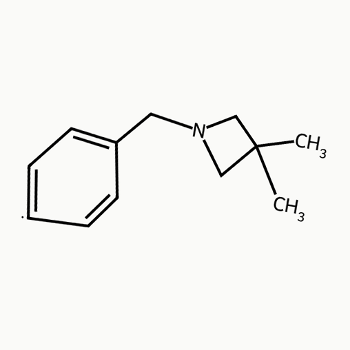 CC1(C)CN(Cc2cc[c]cc2)C1